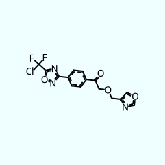 O=C(COCc1cocn1)c1ccc(-c2noc(C(F)(F)Cl)n2)cc1